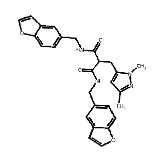 Cc1cc(CC(C(=O)NCc2ccc3occc3c2)C(=O)NCc2ccc3occc3c2)n(C)n1